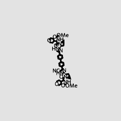 COC(=O)N[C@H](C(=O)N1C2CC2C[C@H]1c1nc(-c2ccc(-c3ccc(-c4nc([C@@H]5CC6CC6N5C(=O)[C@@H](NC(=O)OC)C5CCOCC5)[nH]c4C#N)cc3)cc2)c[nH]1)C1CCOCC1